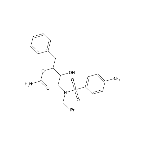 CC(C)CN(CC(O)C(Cc1ccccc1)OC(N)=O)S(=O)(=O)c1ccc(C(F)(F)F)cc1